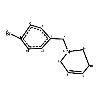 Brc1ccc(CN2CC=CCC2)cc1